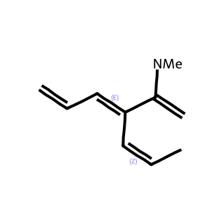 C=C/C=C(\C=C/C)C(=C)NC